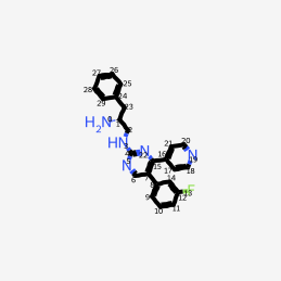 N[C@@H](CNc1ncc(-c2cccc(F)c2)c(-c2ccncc2)n1)Cc1ccccc1